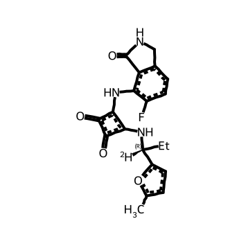 [2H][C@](CC)(Nc1c(Nc2c(F)ccc3c2C(=O)NC3)c(=O)c1=O)c1ccc(C)o1